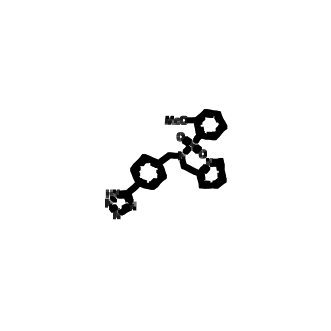 COc1ccccc1S(=O)(=O)N(Cc1ccc(-c2nnn[nH]2)cc1)Cc1ccccn1